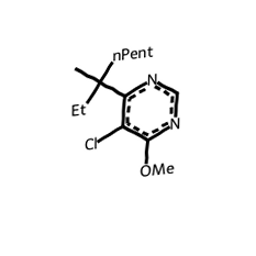 CCCCCC(C)(CC)c1ncnc(OC)c1Cl